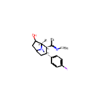 CCC(=NOC)[C@H]1[C@H](c2ccc(I)cc2)CC2CC(O)[C@@H]1N2C